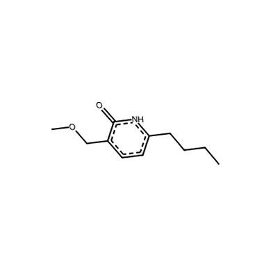 CCCCc1ccc(COC)c(=O)[nH]1